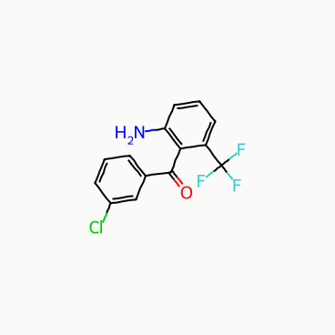 Nc1cccc(C(F)(F)F)c1C(=O)c1cccc(Cl)c1